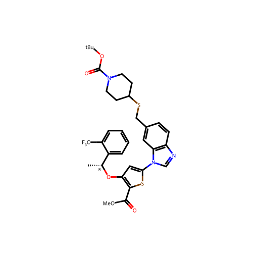 COC(=O)c1sc(-n2cnc3ccc(CSC4CCN(C(=O)OC(C)(C)C)CC4)cc32)cc1O[C@H](C)c1ccccc1C(F)(F)F